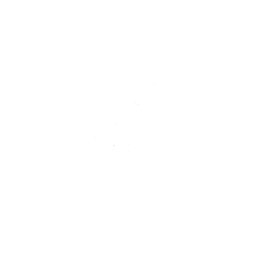 CCS(=O)(=O)OCOC=O